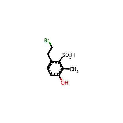 Cc1c(O)ccc(CCBr)c1S(=O)(=O)O